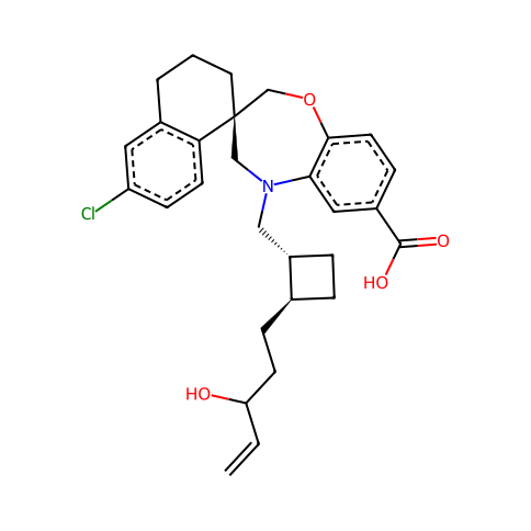 C=CC(O)CC[C@@H]1CC[C@H]1CN1C[C@@]2(CCCc3cc(Cl)ccc32)COc2ccc(C(=O)O)cc21